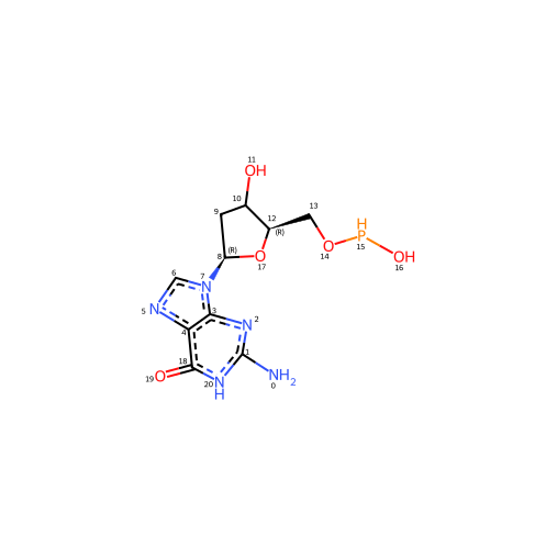 Nc1nc2c(ncn2[C@H]2CC(O)[C@@H](COPO)O2)c(=O)[nH]1